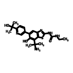 CCNC(=O)Nc1nc2cc(-c3ccc(C(C)(C)O)nc3)c(O)c(C(C)(C)N)c2s1